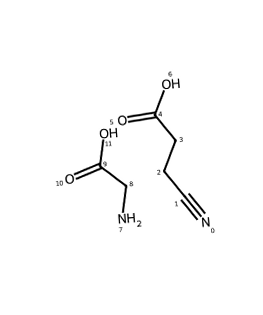 N#CCCC(=O)O.NCC(=O)O